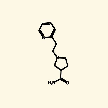 NC(=O)C1CCN(CCc2ccccn2)C1